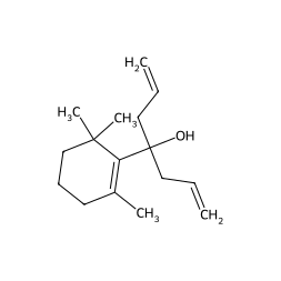 C=CCC(O)(CC=C)C1=C(C)CCCC1(C)C